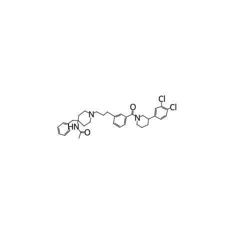 CC(=O)NC1(Cc2ccccc2)CCN(CCCc2cccc(C(=O)N3CCCC(c4ccc(Cl)c(Cl)c4)C3)c2)CC1